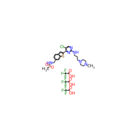 CN1CCN(CCCNc2ncc(Cl)c(-c3cc4ccc(CNS(C)(=O)=O)cc4s3)n2)CC1.O=C(O)C(F)(F)F.O=C(O)C(F)(F)F.O=C(O)C(F)(F)F